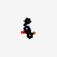 OC1c2cccc(Br)c2CC12CCN(Cc1ccccc1)CC2